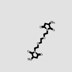 CC(C)(C)C1CC(=O)N(CCOCCOCCN2C(=O)CC(C(C)(C)C)C2=O)C1=O